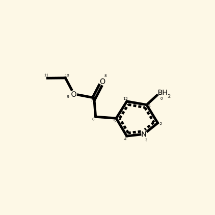 Bc1cncc(CC(=O)OCC)c1